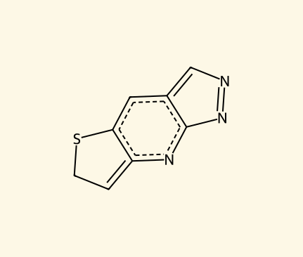 C1=c2cc3c(nc2N=N1)=CCS3